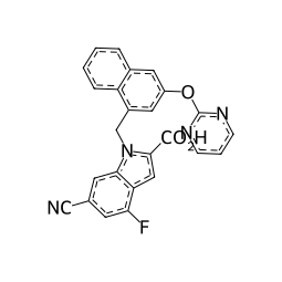 N#Cc1cc(F)c2cc(C(=O)O)n(Cc3cc(Oc4ncccn4)cc4ccccc34)c2c1